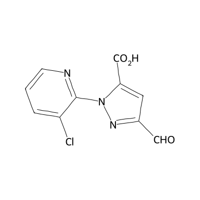 O=Cc1cc(C(=O)O)n(-c2ncccc2Cl)n1